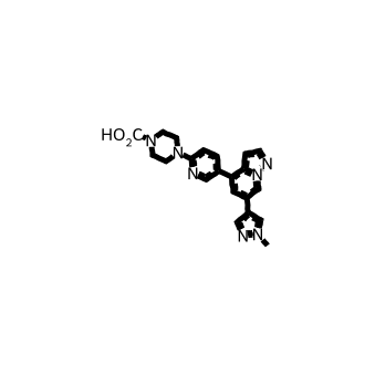 Cn1cc(-c2cc(-c3ccc(N4CCN(C(=O)O)CC4)nc3)c3ccnn3c2)cn1